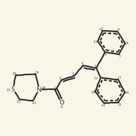 O=C(/C=C/C=C(c1ccccc1)c1ccccc1)N1CCSCC1